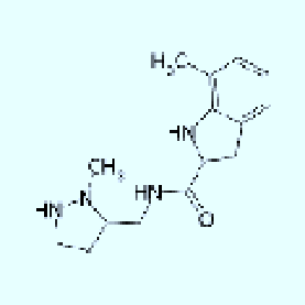 Cc1cccc2c1NC(C(=O)NCC1CCNN1C)C2